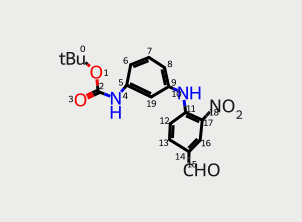 CC(C)(C)OC(=O)Nc1cccc(Nc2ccc(C=O)cc2[N+](=O)[O-])c1